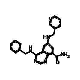 NC(=O)c1cc(NCc2cccnc2)cc2c(NCc3ccccc3)ncnc12